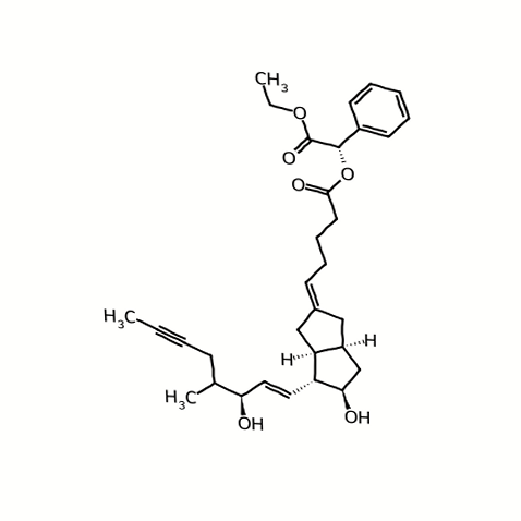 CC#CCC(C)[C@H](O)C=C[C@@H]1[C@H]2CC(=CCCCC(=O)O[C@H](C(=O)OCC)c3ccccc3)C[C@H]2C[C@H]1O